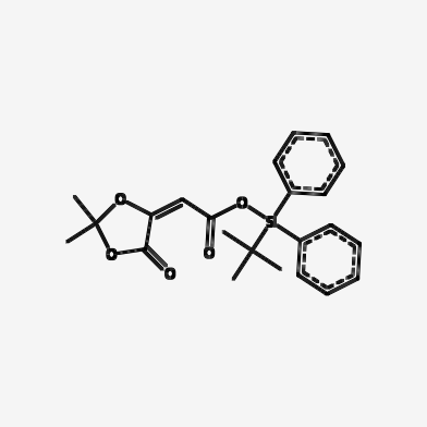 CC1(C)OC(=O)C(=CC(=O)O[Si](c2ccccc2)(c2ccccc2)C(C)(C)C)O1